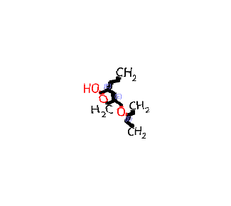 C=C/C=C(\C=C)OC/C(C=C)=C/C(=C\C=C)C(=O)O